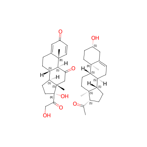 CC(=O)[C@H]1CC[C@H]2[C@@H]3CC=C4C[C@@H](O)CC[C@]4(C)[C@H]3CC[C@]12C.C[C@]12C=CC(=O)C=C1CC[C@@H]1[C@@H]2C(=O)C[C@@]2(C)[C@H]1CC[C@]2(O)C(=O)CO